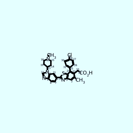 Cc1cc2nc(-c3ccc4ncn(C5CCN(C)CC5)c4c3)sc2c(-c2ccc(Cl)cc2)c1CC(=O)O